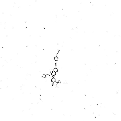 CCCCc1ccc(C#Cc2ccc(CN(C(=O)CCC3CCCC3)c3ccc(F)c(C(=O)OC)c3)cc2)cc1